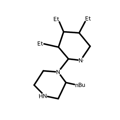 CCCCC1CNCCN1C1[N]CC(CC)C(CC)C1CC